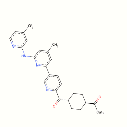 COC(=O)[C@H]1CC[C@H](C(=O)c2ccc(-c3cc(C)cc(Nc4cc(C(F)(F)F)ccn4)n3)cn2)CC1